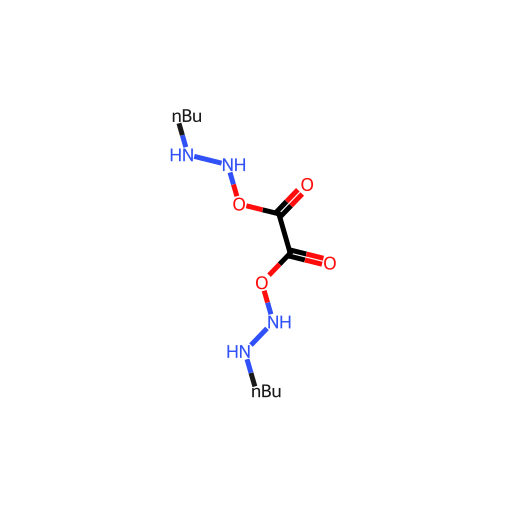 CCCCNNOC(=O)C(=O)ONNCCCC